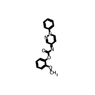 COc1ccccc1OC(=O)N=c1ccn(-c2ccccc2)nc1